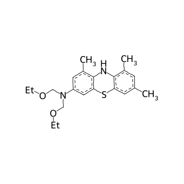 CCOCN(COCC)c1cc(C)c2c(c1)Sc1cc(C)cc(C)c1N2